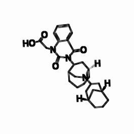 O=C(O)Cn1c(=O)n(C2C[C@H]3CCCCC2CN3C2C[C@H]3CCC[C@@H](C2)C3)c(=O)c2ccccc21